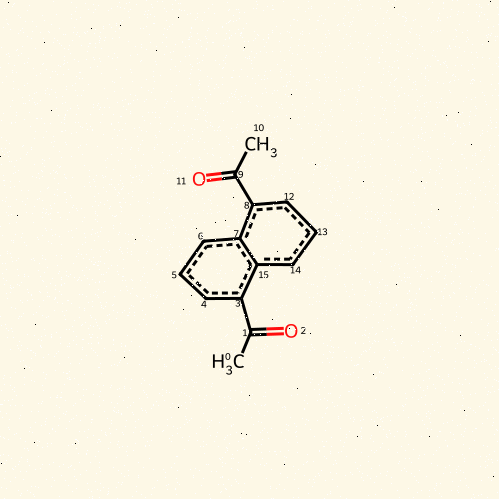 CC(=O)c1cccc2c(C(C)=O)cccc12